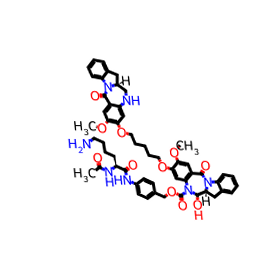 COc1cc2c(cc1OCCCCCOc1cc3c(cc1OC)C(=O)N1c4ccccc4C[C@H]1C(O)N3C(=O)OCc1ccc(NC(=O)[C@H](CCCCN)NC(C)=O)cc1)NC[C@@H]1Cc3ccccc3N1C2=O